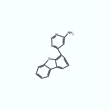 Nc1cc(-c2cccc3c2oc2ccccc23)ncn1